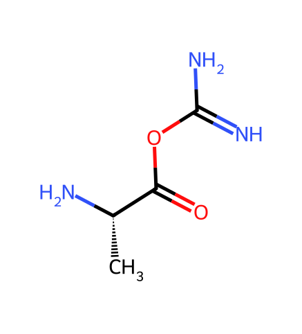 C[C@H](N)C(=O)OC(=N)N